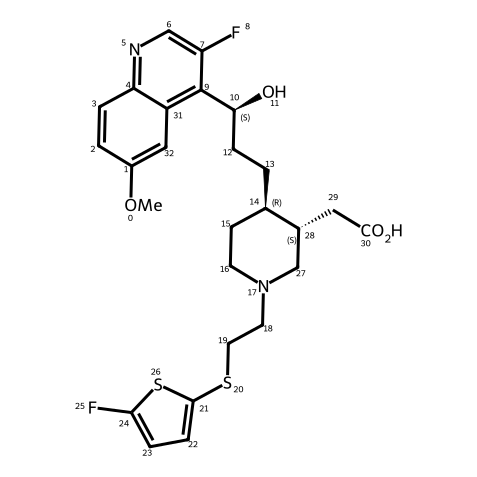 COc1ccc2ncc(F)c([C@@H](O)CC[C@@H]3CCN(CCSc4ccc(F)s4)C[C@H]3CC(=O)O)c2c1